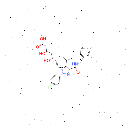 Cc1ccc(CNC(=O)c2nn(-c3ccc(F)cc3)c(/C=C/C(O)CC(O)CC(=O)O)c2C(C)C)cc1